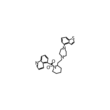 O=S(=O)(c1cccc2ncccc12)N1CCCCC1CCN1CCN(c2cccc3sccc23)CC1